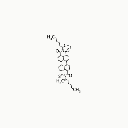 CCCCC[C@H](C)N1C(=O)c2ccc3c4ccc5c6c(ccc(c7ccc(c2c37)C1=S)c64)C(=O)N([C@@H](C)CCCCC)C5=S